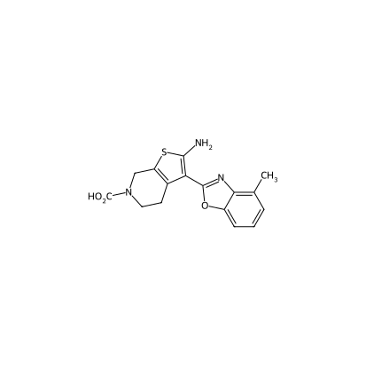 Cc1cccc2oc(-c3c(N)sc4c3CCN(C(=O)O)C4)nc12